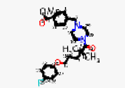 COC(=O)c1ccc(CN2CCN(C(=O)C(C)(C)CCCOc3ccc(F)cc3)CC2)cc1